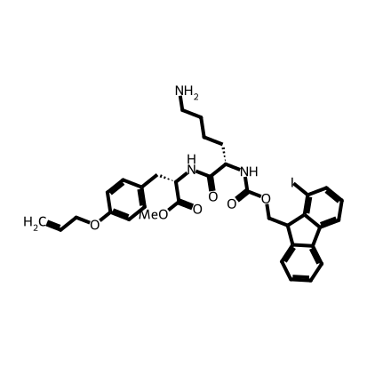 C=CCOc1ccc(C[C@H](NC(=O)[C@H](CCCCN)NC(=O)OCC2c3ccccc3-c3cccc(I)c32)C(=O)OC)cc1